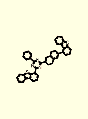 C1=C(c2nc(-c3ccccc3)nc(-c3cccc4c3sc3ccccc34)n2)CCc2cc(-c3cccc4oc5ccccc5c34)ccc21